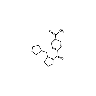 CC(=O)c1ccc(C(=O)N2CCCC2CN2CCCC2)cc1